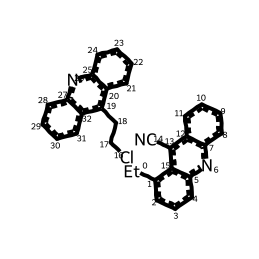 CCc1cccc2nc3ccccc3c(C#N)c12.ClCCc1c2ccccc2nc2ccccc12